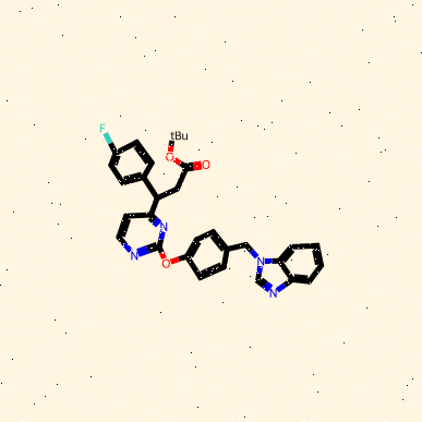 CC(C)(C)OC(=O)CC(c1ccc(F)cc1)c1ccnc(Oc2ccc(Cn3cnc4ccccc43)cc2)n1